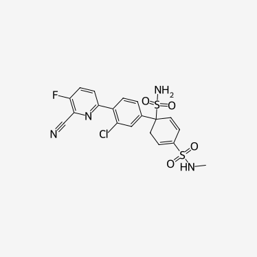 CNS(=O)(=O)C1=CCC(c2ccc(-c3ccc(F)c(C#N)n3)c(Cl)c2)(S(N)(=O)=O)C=C1